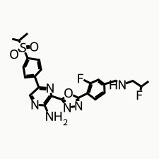 CC(F)CNCc1ccc(-c2nnc(-c3nc(-c4ccc(S(=O)(=O)C(C)C)cc4)cnc3N)o2)c(F)c1